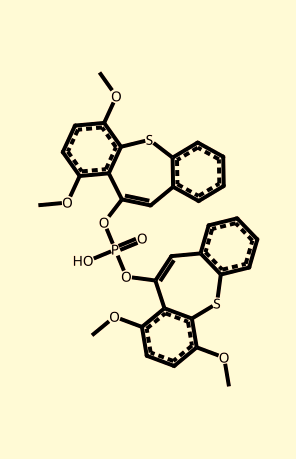 COc1ccc(OC)c2c1Sc1ccccc1C=C2OP(=O)(O)OC1=Cc2ccccc2Sc2c(OC)ccc(OC)c21